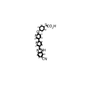 N#Cc1ccc2nc(-c3ccc(-c4ccc(O[C@H]5CC[C@@H](CC(=O)O)CC5)nc4)nc3)[nH]c2c1